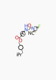 CC(C)Cc1ccc(COC(=O)C23CCC(NCC(=O)N4C[C@@H](F)C[C@H]4C#N)(CC2)CC3)cc1